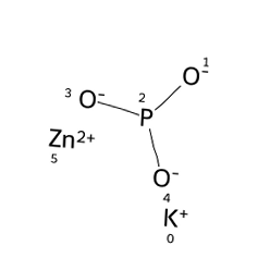 [K+].[O-]P([O-])[O-].[Zn+2]